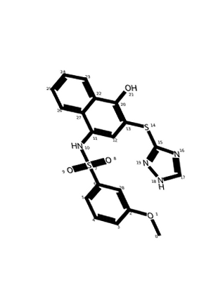 COc1cccc(S(=O)(=O)Nc2cc(Sc3nc[nH]n3)c(O)c3ccccc23)c1